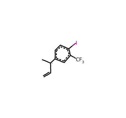 C=C[C](C)c1ccc(I)c(C(F)(F)F)c1